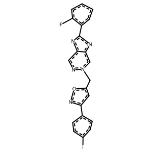 Fc1ccccc1-c1nc2cnn(Cc3cc(-c4ccc(I)cc4)no3)cc-2n1